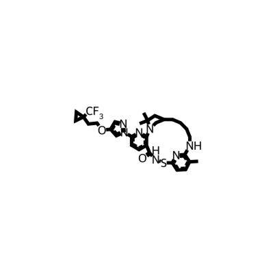 Cc1ccc2nc1NCCCCC1CN(c3nc(-n4cc(OCCC5(C(F)(F)F)CC5)cn4)ccc3C(=O)NS2)C(C)(C)C1